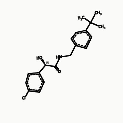 CC(C)(C)c1ccc(CNC(=O)[C@H](O)c2ccc(Cl)cc2)cc1